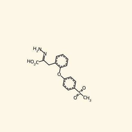 CS(=O)(=O)c1ccc(Oc2ccccc2CC(=NN)C(=O)O)cc1